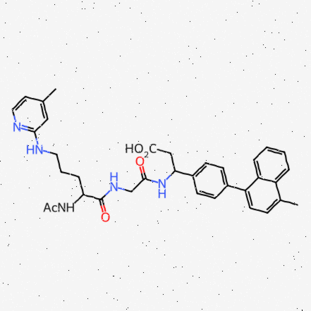 CC(=O)NC(CCCNc1cc(C)ccn1)C(=O)NCC(=O)NC(CC(=O)O)c1ccc(-c2ccc(C)c3ccccc23)cc1